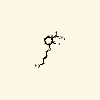 CCC=CCOc1cccc(NC)c1F